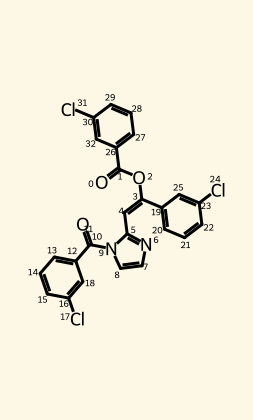 O=C(O/C(=C/c1nccn1C(=O)c1cccc(Cl)c1)c1cccc(Cl)c1)c1cccc(Cl)c1